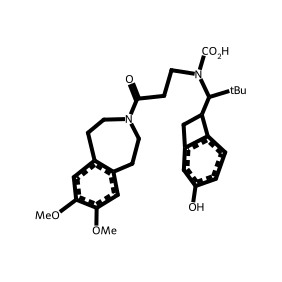 COc1cc2c(cc1OC)CCN(C(=O)CCN(C(=O)O)C(C1Cc3cc(O)ccc31)C(C)(C)C)CC2